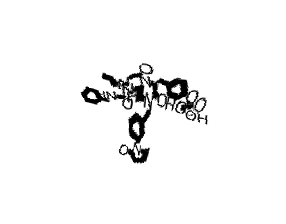 C=CCN1CC(=O)N2[C@@H](Cc3ccc(OP(=O)(O)O)cc3)C(=O)N(Cc3cccc(N4CCCC4=O)c3)C[C@@H]2N1C(=O)NCc1ccccc1